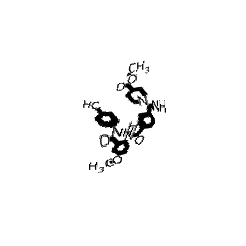 C#Cc1ccc(NC(=O)c2cc(OC)ccc2NC(=O)c2ccc(C(=N)N3CCC(C(=O)OCC)CC3)cc2)cc1